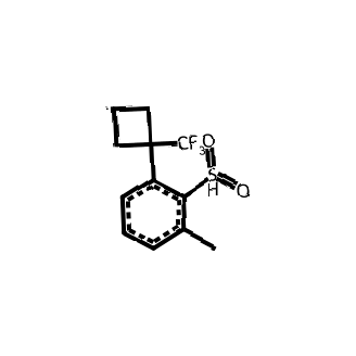 Cc1cccc(C2(C(F)(F)F)C[CH]C2)c1[SH](=O)=O